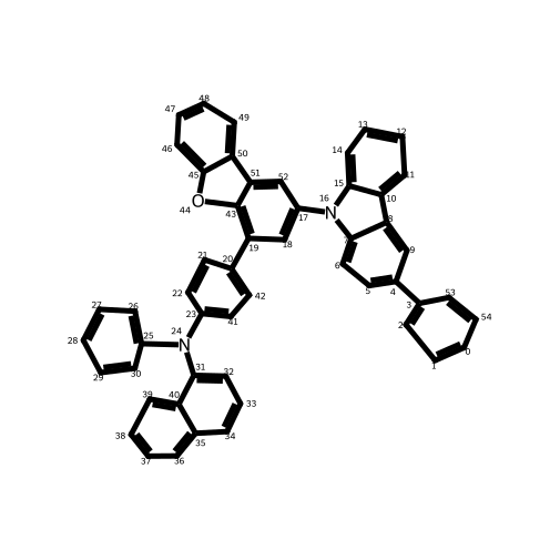 c1ccc(-c2ccc3c(c2)c2ccccc2n3-c2cc(-c3ccc(N(c4ccccc4)c4cccc5ccccc45)cc3)c3oc4ccccc4c3c2)cc1